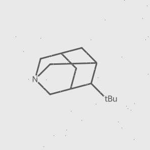 CC(C)(C)C1C2CC3CC1CN(C3)C2